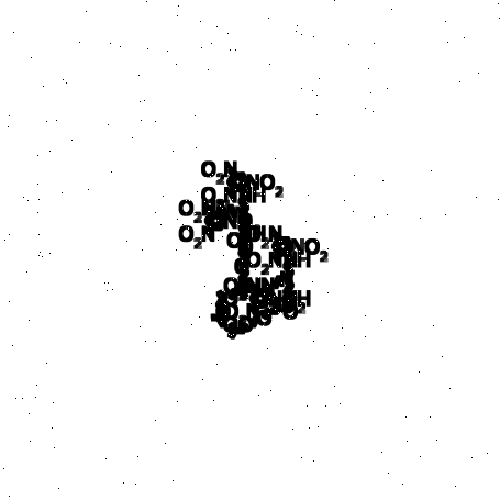 CC(COCCOCCOC(=O)NCCN(CCNc1c([N+](=O)[O-])cc([N+](=O)[O-])cc1[N+](=O)[O-])CCNc1c([N+](=O)[O-])cc([N+](=O)[O-])cc1[N+](=O)[O-])OCC(C)OCC(C)OCC(C)OCCOCCOC(=O)NCCN(CCNc1c([N+](=O)[O-])cc([N+](=O)[O-])cc1[N+](=O)[O-])CCNc1c([N+](=O)[O-])cc([N+](=O)[O-])cc1[N+](=O)[O-]